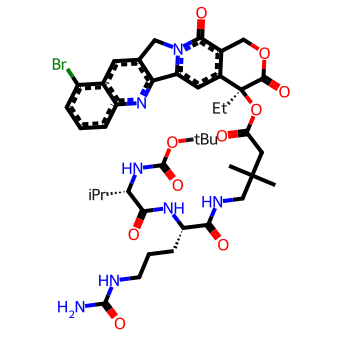 CC[C@@]1(OC(=O)CC(C)(C)CNC(=O)[C@H](CCCNC(N)=O)NC(=O)[C@@H](NC(=O)OC(C)(C)C)C(C)C)C(=O)OCc2c1cc1n(c2=O)Cc2cc3c(Br)cccc3nc2-1